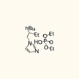 CCCCC(CC)Cn1ccnc1.CCOP(=O)(O)OCC